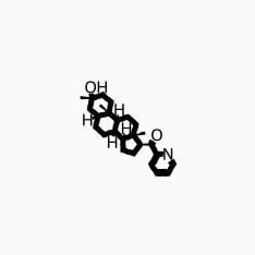 C[C@@]1(O)CC[C@@]2(C)[C@H](CC[C@@H]3[C@@H]2CC[C@]2(C)[C@@H](C(=O)c4ccccn4)CC[C@@H]32)C1